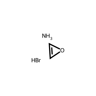 Br.C1=CO1.N